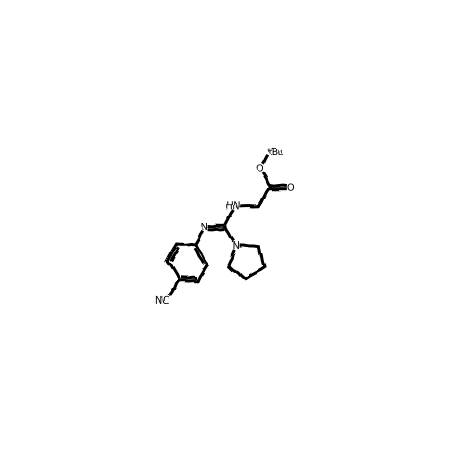 CC(C)(C)OC(=O)CNC(=Nc1ccc(C#N)cc1)N1CCCC1